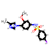 COc1cc(NS(=O)(=O)c2ccc(I)cc2)ccc1-n1cnc(C)c1